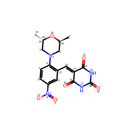 C[C@H]1CN(c2ccc([N+](=O)[O-])cc2C=C2C(=O)NC(=O)NC2=O)C[C@H](C)O1